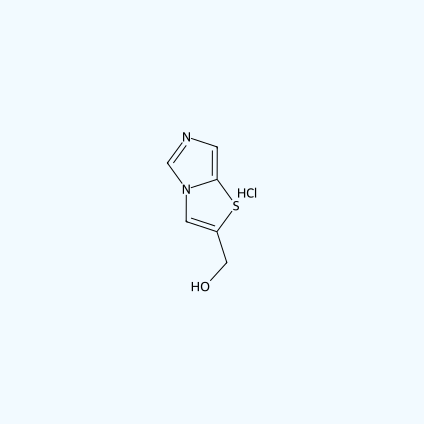 Cl.OCc1cn2cncc2s1